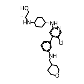 C[C@H](CO)N[C@H]1CC[C@H](Nc2cc(-c3cccc(NCC4CCOCC4)c3)c(Cl)cn2)CC1